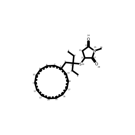 CCC(CC)(Cc1ccccccccccccc1)SC1CC(=O)N(C)C1=O